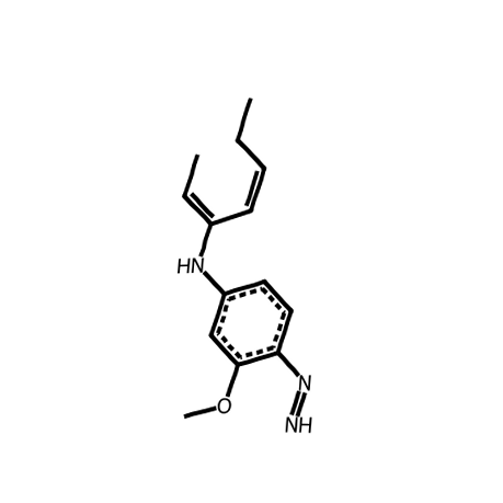 C/C=C(\C=C/CC)Nc1ccc(N=N)c(OC)c1